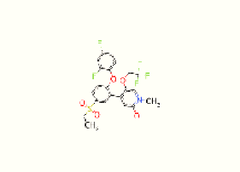 CCS(=O)(=O)c1ccc(Oc2ccc(F)cc2F)c(-c2cc(=O)n(C)cc2OCC(F)(F)F)c1